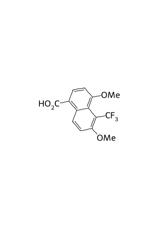 COc1ccc2c(C(=O)O)ccc(OC)c2c1C(F)(F)F